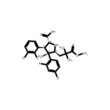 COC(=O)C(C)(C)C[C@@H]1N[C@@H](C(=O)O)[C@H](c2cccc(Cl)c2F)[C@@]1(N)c1ccc(Cl)cc1F